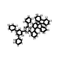 c1ccc(-c2cc(-c3ccccc3)cc(-c3nc(-c4ccccc4)nc(-c4ccccc4-c4cccc5c4-c4ccccc4C54c5ccccc5-c5ccccc54)n3)c2)cc1